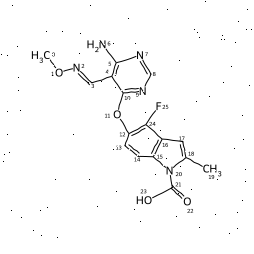 CON=Cc1c(N)ncnc1Oc1ccc2c(cc(C)n2C(=O)O)c1F